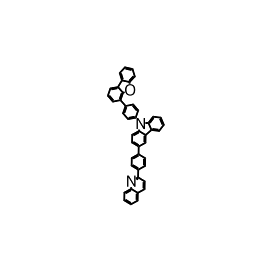 c1ccc2nc(-c3ccc(-c4ccc5c(c4)c4ccccc4n5-c4ccc(-c5cccc6c5oc5ccccc56)cc4)cc3)ccc2c1